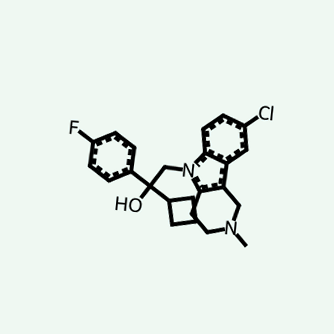 CN1CCc2c(c3cc(Cl)ccc3n2CC(O)(c2ccc(F)cc2)C2CCC2)C1